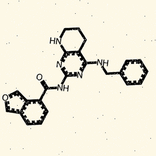 O=C(Nc1nc2c(c(NCc3ccccc3)n1)CCCN2)c1cccc2cocc12